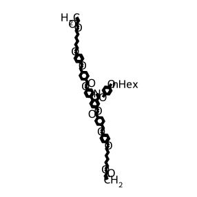 C=CC(=O)OCCCCCCOc1ccc(OCC2CCC(C(=O)Oc3ccc4c(c3)nc(Oc3ccc(OCCCCCC)cc3)c3cc(OC(=O)C5CCC(COc6ccc(OCCCCCCOC(=O)C=C)cc6)CC5)ccc34)CC2)cc1